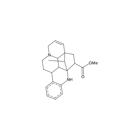 COC(=O)C1CC23C=CCN4CCC5c6ccccc6NC1(C5C42)C3C